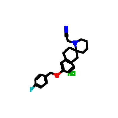 Cl.N#CCN1CCCCC12CCc1cc(OCc3ccc(F)cc3)ccc1C2